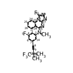 CN(c1cc(F)cc(C#CC(C)(C)C(F)(F)F)c1)c1nc2nnc(F)n2c2ccccc12